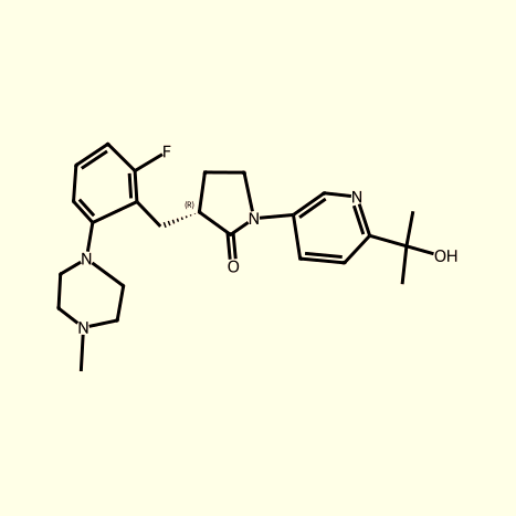 CN1CCN(c2cccc(F)c2C[C@@H]2CCN(c3ccc(C(C)(C)O)nc3)C2=O)CC1